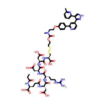 CCC(=O)N[C@@H](CCC(=O)N[C@@H](CC(=O)O)C(=O)N[C@@H](CCCNC(=N)N)C(=O)N[C@@H](CC(=O)O)C(=O)N[C@@H](CC(=O)O)C(=O)N[C@@H](CSSCCOC(=O)N(C)CCOc1ccc(-c2cc(-c3n[nH]cc3-c3cccc(C)n3)ccn2)cc1)C(=O)O)C(=O)O